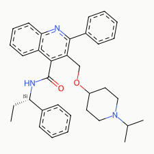 CC[C@H](NC(=O)c1c(COC2CCN(C(C)C)CC2)c(-c2ccccc2)nc2ccccc12)c1ccccc1